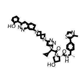 Cc1ncsc1-c1ccc([C@H](C)NC(=O)[C@@H]2C[C@@H](O)CN2C(=O)C(C2CC2)n2cc(N3CC4(CN(c5ccc6cc(-c7ccccc7O)nnc6c5)C4)C3)nn2)cc1